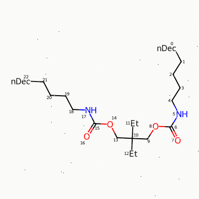 CCCCCCCCCCCCCCNC(=O)OCC(CC)(CC)COC(=O)NCCCCCCCCCCCCCC